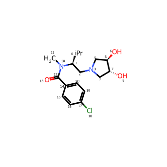 CC(C)[C@@H](CN1C[C@@H](O)[C@H](O)C1)N(C)C(=O)c1ccc(Cl)cc1